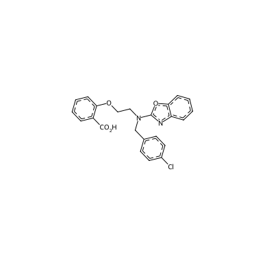 O=C(O)c1ccccc1OCCN(Cc1ccc(Cl)cc1)c1nc2ccccc2o1